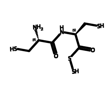 N[C@@H](CS)C(=O)N[C@@H](CS)C(=O)SS